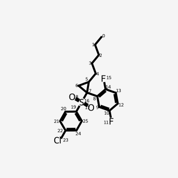 CCCCCC1CC1(c1cc(F)ccc1F)S(=O)(=O)c1ccc(Cl)cc1